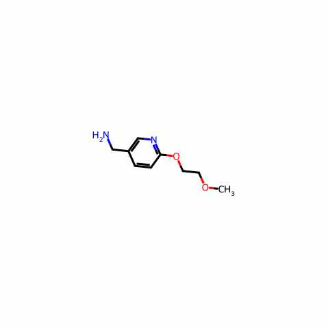 COCCOc1ccc(CN)cn1